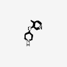 Cc1ccncc1OC1CCNCC1